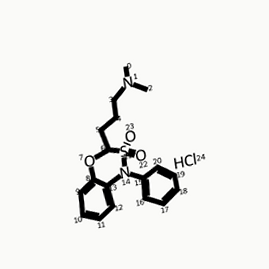 CN(C)CCCC1Oc2ccccc2N(c2ccccc2)S1(=O)=O.Cl